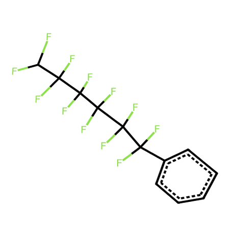 FC(F)C(F)(F)C(F)(F)C(F)(F)C(F)(F)C(F)(F)c1ccccc1